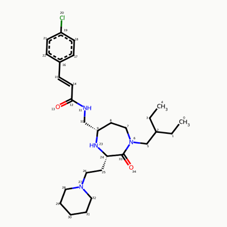 CCC(CC)CN1CC[C@@H](CNC(=O)C=Cc2ccc(Cl)cc2)N[C@@H](CCN2CCCCC2)C1=O